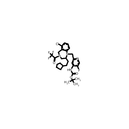 CC(C)(C)OC(=O)Nc1cc(CN2c3cccc(Cl)c3CN(C(=O)C(F)(F)F)CC2CCC2CCCC2)ncc1F